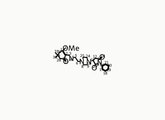 COC1=C(/C=N/CCN2CCN([C@H]3CC(=O)N(c4ccccc4)C3=O)CC2)C(=O)CC(C)(C)C1